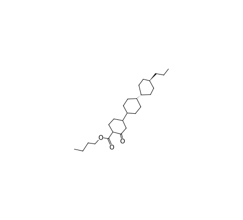 CCCCOC(=O)C1CCC(C2CCC([C@H]3CC[C@H](CCC)CC3)CC2)CC1=O